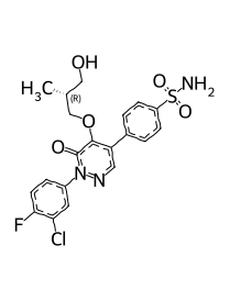 C[C@H](CO)COc1c(-c2ccc(S(N)(=O)=O)cc2)cnn(-c2ccc(F)c(Cl)c2)c1=O